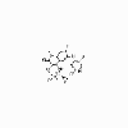 Cn1c(=O)c2c(c3cc(Nc4nc(Cl)ncc4F)c(F)cc31)N[C@@H](C1CC1)C(F)(F)CO2